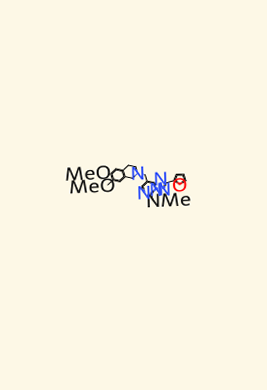 CNc1ncc(CN2CCc3cc(OC)c(OC)cc3C2)c2nc(-c3ccco3)nn12